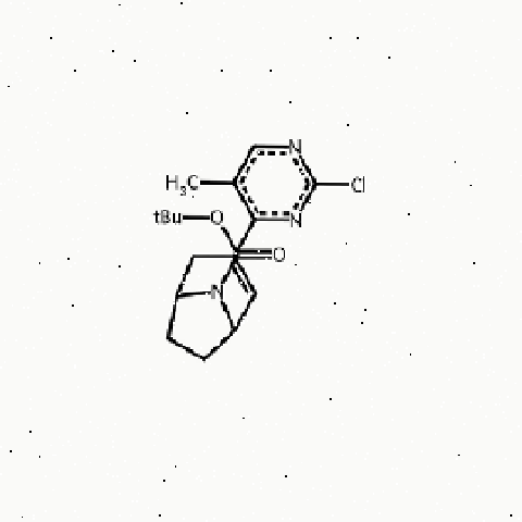 Cc1cnc(Cl)nc1C1=CC2CCC(C1)N2C(=O)OC(C)(C)C